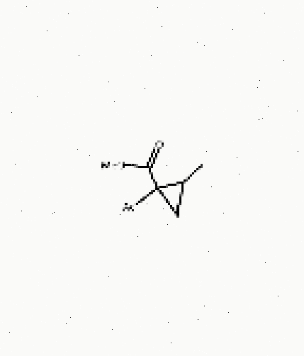 COC(=O)C1(C(C)=O)CC1C